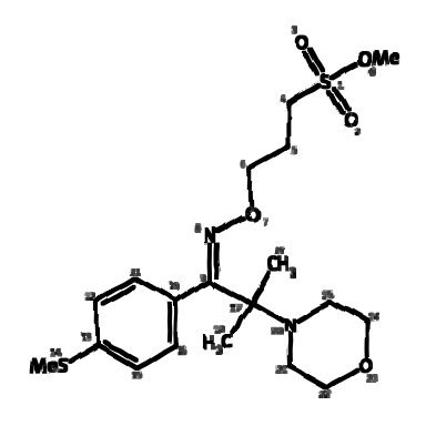 COS(=O)(=O)CCCON=C(c1ccc(SC)cc1)C(C)(C)N1CCOCC1